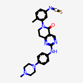 Cc1ccc(N=C=S)cc1N1CCc2nc(Nc3ccc(N4CCN(C)CC4)cc3)ncc2C1=O